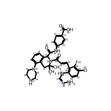 CC1(C)Cc2c(cccc2N2CCNCC2)C(C(=O)Nc2ccc(C(=O)O)cc2)N1C(=O)/C=C/c1c(N/C=N\N)ccc(Cl)c1F